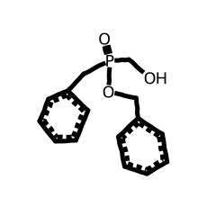 O=P(CO)(Cc1ccccc1)OCc1ccccc1